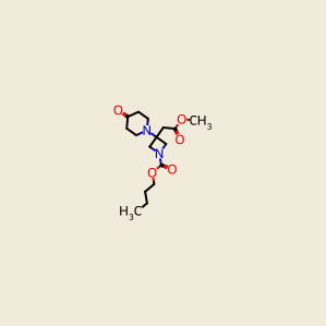 CCCCOC(=O)N1CC(CC(=O)OC)(N2CCC(=O)CC2)C1